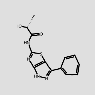 C[C@@H](O)C(=O)Nc1nc2[nH]nc(-c3ccccc3)c2s1